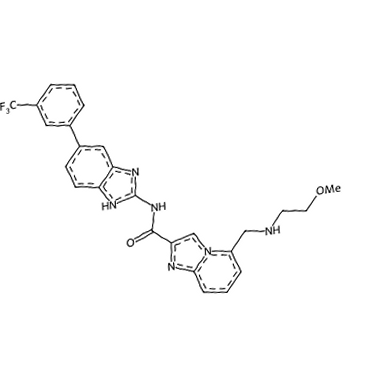 COCCNCc1cccc2nc(C(=O)Nc3nc4cc(-c5cccc(C(F)(F)F)c5)ccc4[nH]3)cn12